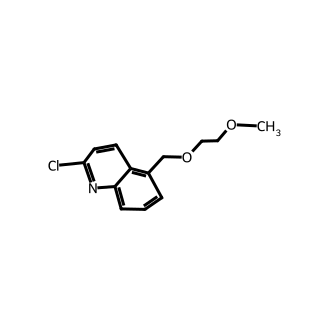 COCCOCc1cccc2nc(Cl)ccc12